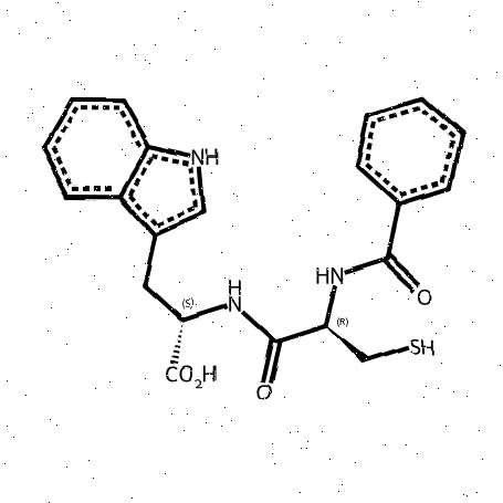 O=C(N[C@@H](CS)C(=O)N[C@@H](Cc1c[nH]c2ccccc12)C(=O)O)c1ccccc1